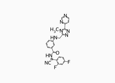 Cn1c(CNc2cccc(C(=O)N[C@@H](C#N)c3ccc(F)cc3F)c2)nnc1-c1ccncn1